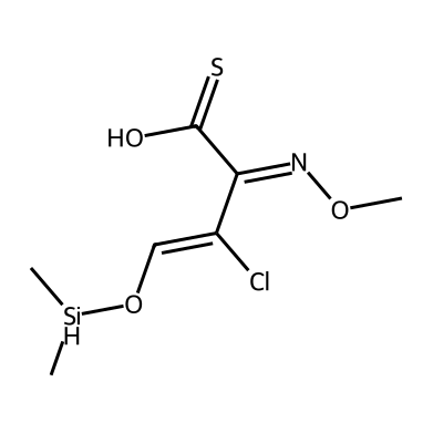 CON=C(C(O)=S)C(Cl)=CO[SiH](C)C